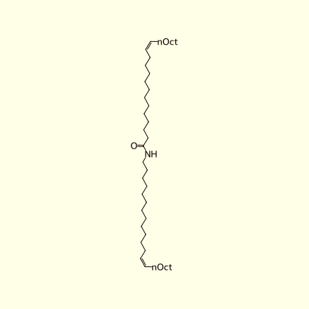 CCCCCCCC/C=C\CCCCCCCCCCCCNC(=O)CCCCCCCCCCC/C=C\CCCCCCCC